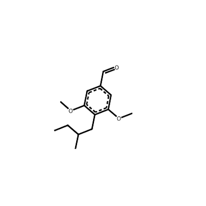 CCC(C)Cc1c(OC)cc(C=O)cc1OC